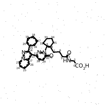 O=C(O)CNC(=O)CCCC1=C(n2nc(-c3c(-c4ccccc4)nn4ccccc34)ccc2=O)CCCC1